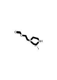 C[C@@H]1CN(CCOC=O)CCN1